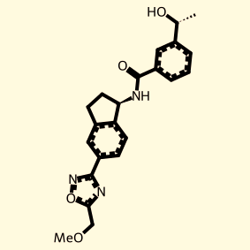 COCc1nc(-c2ccc3c(c2)CC[C@H]3NC(=O)c2cccc([C@@H](C)O)c2)no1